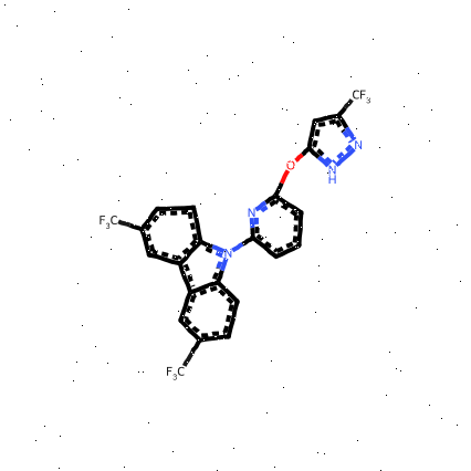 FC(F)(F)c1ccc2c(c1)c1cc(C(F)(F)F)ccc1n2-c1cccc(Oc2cc(C(F)(F)F)n[nH]2)n1